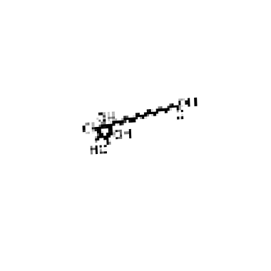 Cc1c(Cl)c(O)c(CCCCCCCCCCCC(=O)O)c(O)c1CO